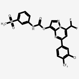 CS(=O)(=O)c1cccc(NC(=O)Oc2cnn3c(C(F)F)cc(-c4ccc(C(F)(F)F)c(Cl)c4)nc23)c1